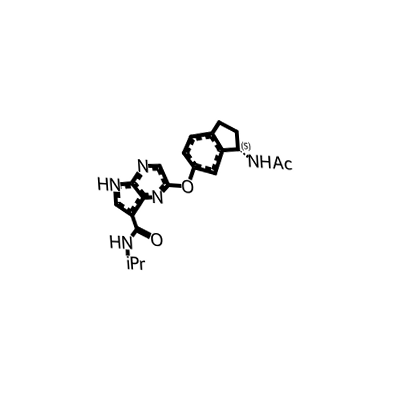 CC(=O)N[C@H]1CCc2ccc(Oc3cnc4[nH]cc(C(=O)NC(C)C)c4n3)cc21